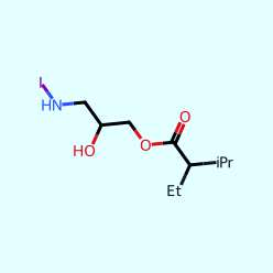 CCC(C(=O)OCC(O)CNI)C(C)C